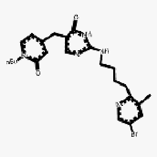 CCCCn1ccc(Cc2cnc(NCCCCc3ncc(Br)cc3C)[nH]c2=O)cc1=O